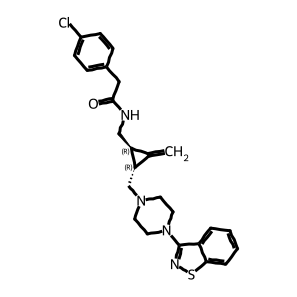 C=C1[C@H](CNC(=O)Cc2ccc(Cl)cc2)[C@H]1CN1CCN(c2nsc3ccccc23)CC1